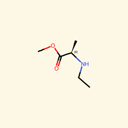 CCN[C@H](C)C(=O)OC